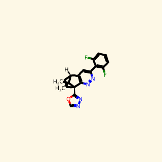 CC1(C)[C@@H]2CC[C@@]1(c1nnco1)c1nnc(-c3c(F)cccc3F)cc12